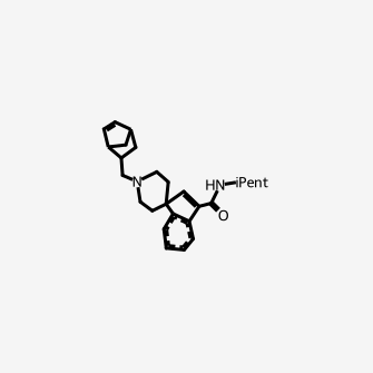 CCCC(C)NC(=O)C1=CC2(CCN(CC3CC4C=CC3C4)CC2)c2ccccc21